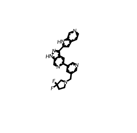 FC1(F)CCN(Cc2cncc(-c3cc4c(-c5cc6ccncc6[nH]5)n[nH]c4cn3)c2)C1